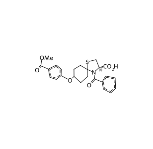 COC(=O)c1ccc(OC2CCC3(CC2)SC[C@@H](C(=O)O)N3C(=O)c2ccccc2)cc1